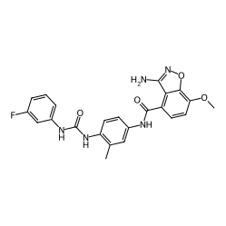 COc1ccc(C(=O)Nc2ccc(NC(=O)Nc3cccc(F)c3)c(C)c2)c2c(N)noc12